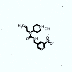 C=CCN(C(=O)NCc1cccc([N+](=O)[O-])c1)C1CCNCC1.Cl